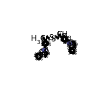 CN(CCSSCCN(C)c1ccc(/C=C/C23OCCN2C2=C(C=CCC2)S3)cc1)c1ccc(/C=C/C23OCCN2C2=C(C=CCC2)S3)cc1